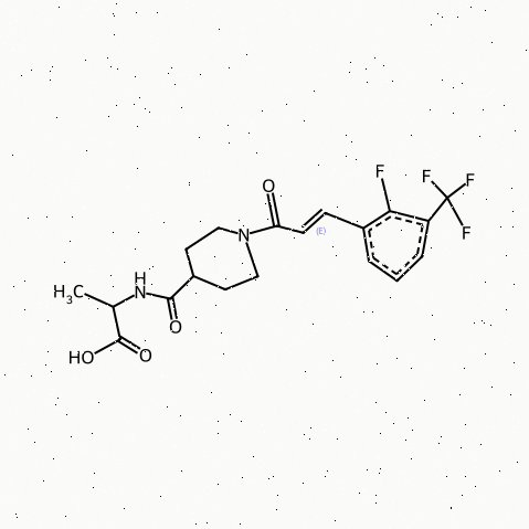 CC(NC(=O)C1CCN(C(=O)/C=C/c2cccc(C(F)(F)F)c2F)CC1)C(=O)O